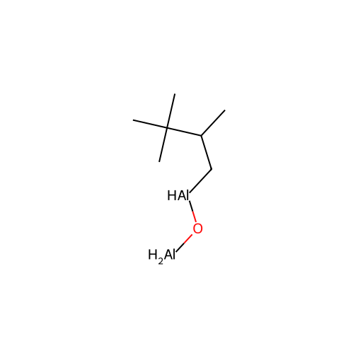 CC([CH2][AlH][O][AlH2])C(C)(C)C